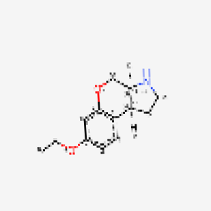 CCOc1ccc2c(c1)OC[C@@]1(C)NCC[C@@H]21